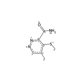 CSc1c(C)cnnc1C(N)=O